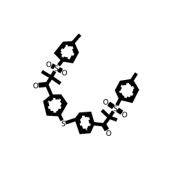 Cc1ccc(S(=O)(=O)C(C)(C)C(=O)c2ccc(Sc3ccc(C(=O)C(C)(C)S(=O)(=O)c4ccc(C)cc4)cc3)cc2)cc1